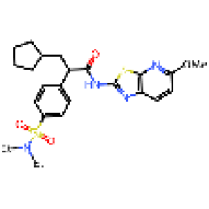 CCN(CC)S(=O)(=O)c1ccc(C(CC2CCCC2)C(=O)Nc2nc3ccc(OC)nc3s2)cc1